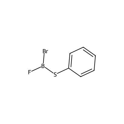 FB(Br)Sc1ccccc1